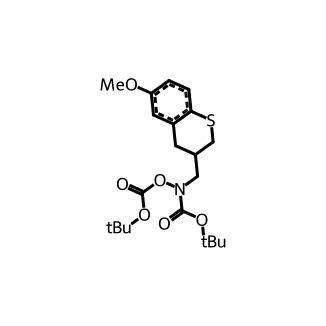 COc1ccc2c(c1)CC(CN(OC(=O)OC(C)(C)C)C(=O)OC(C)(C)C)CS2